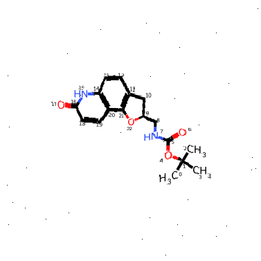 CC(C)(C)OC(=O)NCC1Cc2ccc3[nH]c(=O)ccc3c2O1